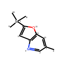 Cc1cnc2cc([Si](C)(C)C)oc2c1